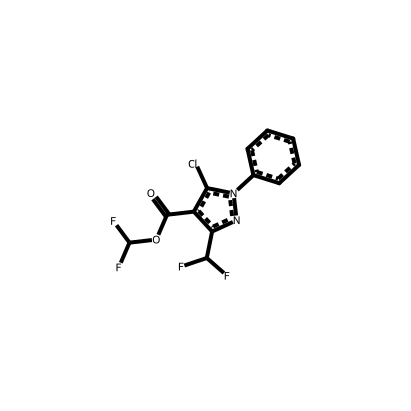 O=C(OC(F)F)c1c(C(F)F)nn(-c2ccccc2)c1Cl